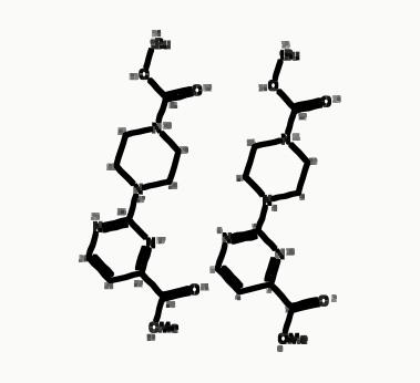 COC(=O)c1ccnc(N2CCN(C(=O)OC(C)(C)C)CC2)n1.COC(=O)c1ccnc(N2CCN(C(=O)OC(C)(C)C)CC2)n1